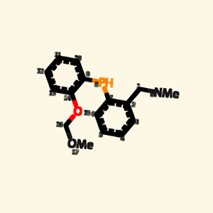 CNCc1ccccc1Pc1ccccc1OCOC